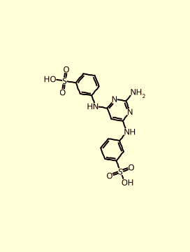 Nc1nc(Nc2cccc(S(=O)(=O)O)c2)cc(Nc2cccc(S(=O)(=O)O)c2)n1